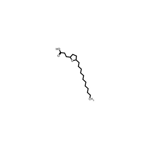 CCCCCCCCCCCCC1CCC(CCC(=O)O)O1